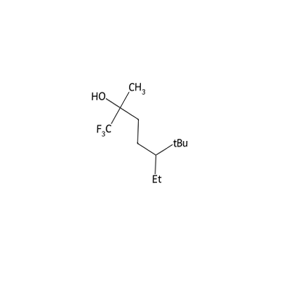 CCC(CCC(C)(O)C(F)(F)F)C(C)(C)C